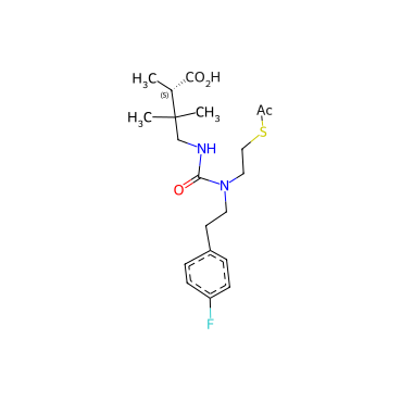 CC(=O)SCCN(CCc1ccc(F)cc1)C(=O)NCC(C)(C)[C@H](C)C(=O)O